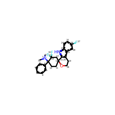 CN(C)C1(c2ccccc2)CCC2(CC1(F)F)OCCc1c2[nH]c2ccc(F)cc12